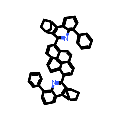 c1ccc(-c2cccc3c4c(c(-c5ccc6ccc7c(-c8nc9c(-c%10ccccc%10)cccc9c9c8C8CCC9C8)ccc8ccc5c6c87)nc23)C2CCC4C2)cc1